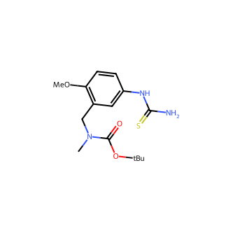 COc1ccc(NC(N)=S)cc1CN(C)C(=O)OC(C)(C)C